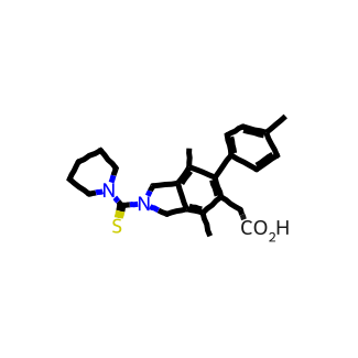 Cc1ccc(-c2c(C)c3c(c(C)c2CC(=O)O)CN(C(=S)N2CCCCC2)C3)cc1